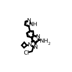 Nc1nc2cc(-c3ccn[nH]3)ccc2c2c1nc(CCl)n2C1CCC1